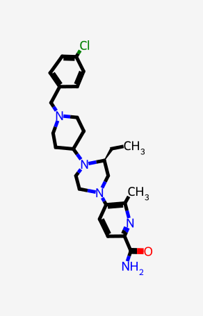 CC[C@H]1CN(c2ccc(C(N)=O)nc2C)CCN1C1CCN(Cc2ccc(Cl)cc2)CC1